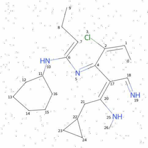 C\C=C(Cl)/C(=N\C(=C\CC)NC1CCCCC1)C(/C=N)=C(\CC1CC1)NC